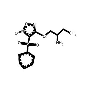 CCC(N)COc1no[n+]([O-])c1S(=O)(=O)c1ccccc1